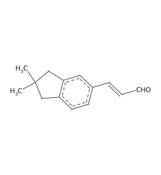 CC1(C)Cc2ccc(C=CC=O)cc2C1